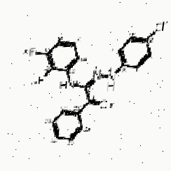 O=C(/C(=N\Nc1ccc(Cl)cc1)Nc1cccc(F)c1F)c1ccccc1